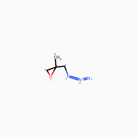 CC1(CN=[N+]=[N-])CO1